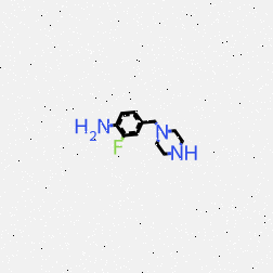 Nc1ccc(CN2CCNCC2)cc1F